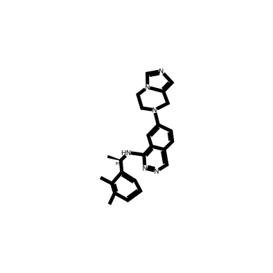 Cc1cccc([C@@H](C)Nc2nncc3ccc(N4CCn5cncc5C4)cc23)c1C